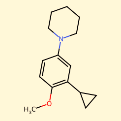 COc1ccc(N2CCCCC2)cc1C1CC1